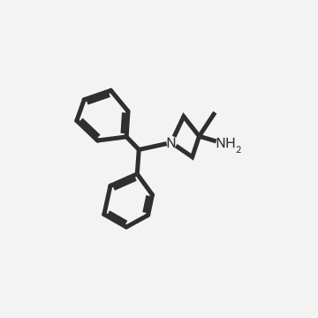 CC1(N)CN(C(c2ccccc2)c2ccccc2)C1